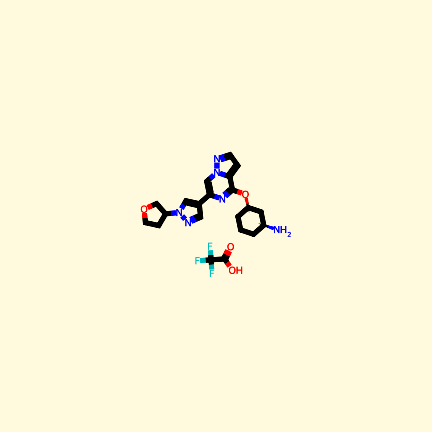 N[C@H]1CCC[C@@H](Oc2nc(-c3cnn(C4CCOC4)c3)cn3nccc23)C1.O=C(O)C(F)(F)F